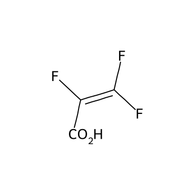 O=C(O)C(F)=C(F)F